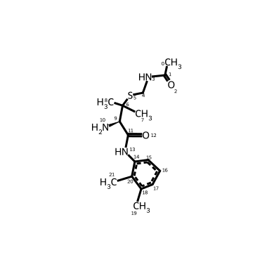 CC(=O)NCSC(C)(C)[C@H](N)C(=O)Nc1cccc(C)c1C